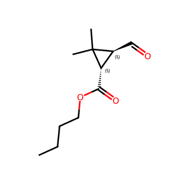 CCCCOC(=O)[C@H]1[C@H](C=O)C1(C)C